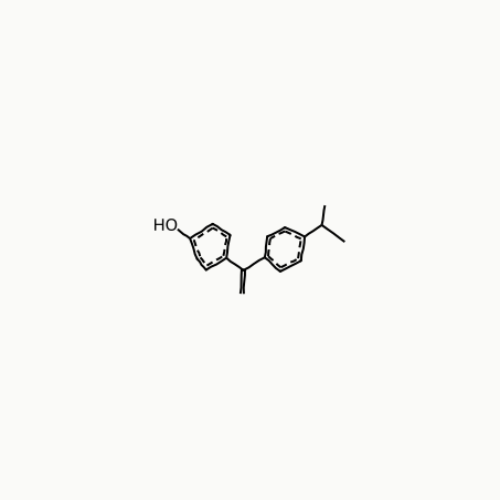 C=C(c1ccc(O)cc1)c1ccc(C(C)C)cc1